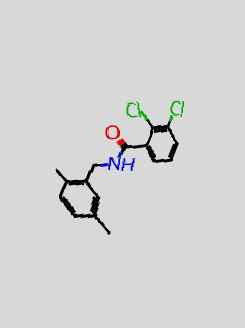 Cc1ccc(C)c(CNC(=O)c2cccc(Cl)c2Cl)c1